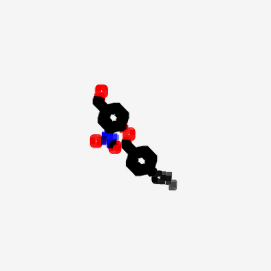 Cc1ccc(COc2ccc(C=O)cc2[N+](=O)[O-])cc1